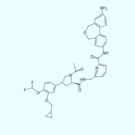 CC(=O)N1CC(c2ccc(OC(F)F)c(OCC3CC3)c2)C[C@@H]1C(=O)NCc1cccc(C(=O)Nc2ccc3c(c2)COCc2cc(N)ccc2-3)n1